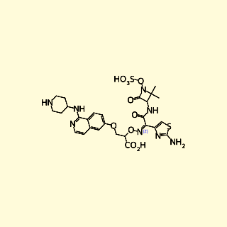 CC1(C)C(NC(=O)/C(=N\OC(COc2ccc3c(NC4CCNCC4)nccc3c2)C(=O)O)c2csc(N)n2)C(=O)N1OS(=O)(=O)O